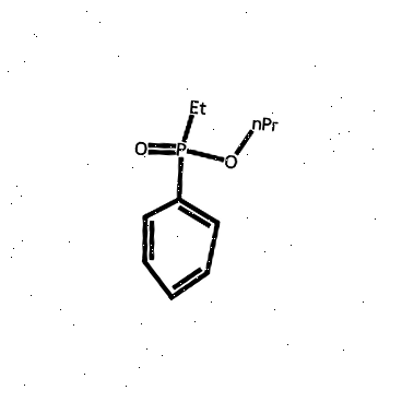 CCCOP(=O)(CC)c1ccccc1